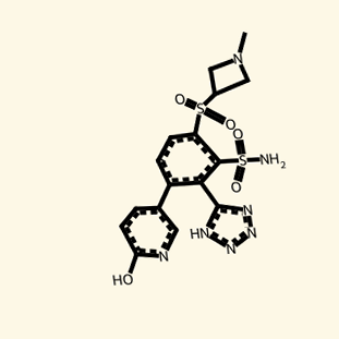 CN1CC(S(=O)(=O)c2ccc(-c3ccc(O)nc3)c(-c3nnn[nH]3)c2S(N)(=O)=O)C1